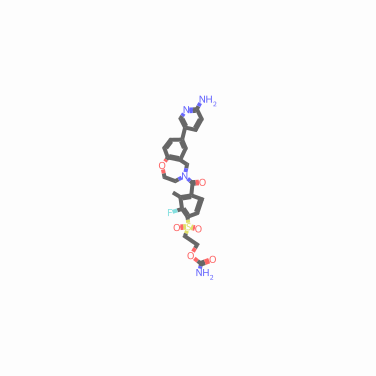 Cc1c(C(=O)N2CCOc3ccc(-c4ccc(N)nc4)cc3C2)ccc(S(=O)(=O)CCOC(N)=O)c1F